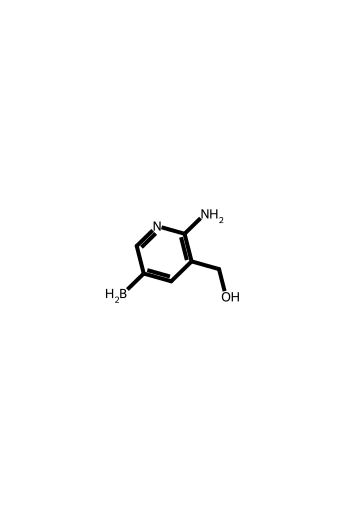 Bc1cnc(N)c(CO)c1